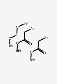 CC(C)[O][Ti][O]C(C)C.CCCOC(=O)CC(C)=O.CCCOC(=O)CC(C)=O